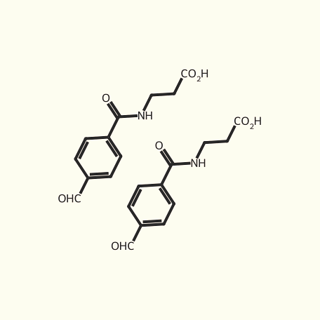 O=Cc1ccc(C(=O)NCCC(=O)O)cc1.O=Cc1ccc(C(=O)NCCC(=O)O)cc1